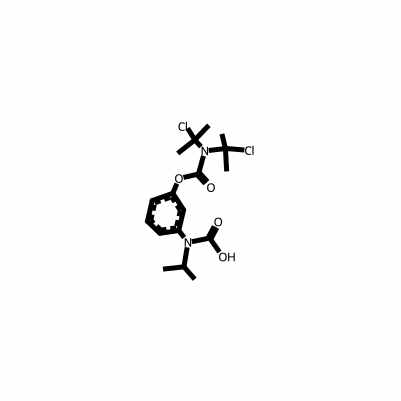 CC(C)N(C(=O)O)c1cccc(OC(=O)N(C(C)(C)Cl)C(C)(C)Cl)c1